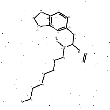 C=C.CCCCCCCC[S+]([O-])C(C)Cc1ccc2c(c1)OCO2